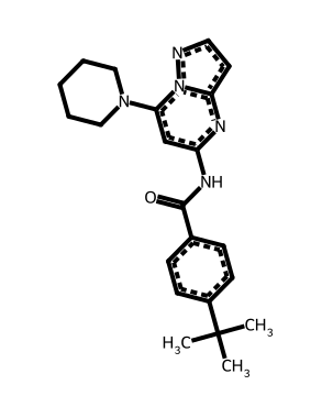 CC(C)(C)c1ccc(C(=O)Nc2cc(N3CCCCC3)n3nccc3n2)cc1